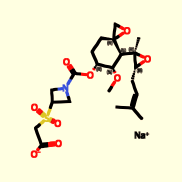 CO[C@@H]1[C@H](OC(=O)N2CC(S(=O)(=O)CC(=O)[O-])C2)CC[C@]2(CO2)[C@H]1[C@@]1(C)O[C@@H]1CC=C(C)C.[Na+]